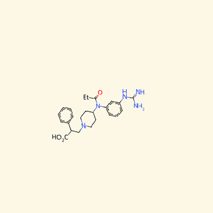 CCC(=O)N(c1cccc(NC(=N)N)c1)C1CCN(CC(C(=O)O)c2ccccc2)CC1